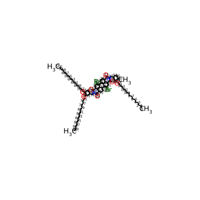 CCCCCCCCCCCCCCCCOc1cc(CN2C(=O)c3ccc4c5c(Br)cc6c7c(ccc(c8c(Br)cc(c3c48)C2=O)c75)C(=O)N(Cc2ccc(OCCCCCCCCCCCCCCCC)c(OCCCCCCCCCCCCCCCC)c2)C6=O)ccc1C